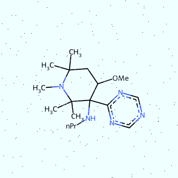 CCCNC1(c2ncncn2)C(OC)CC(C)(C)N(C)C1(C)C